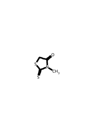 CN1C(=O)[CH]SC1=S